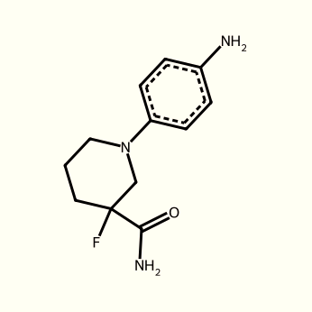 NC(=O)C1(F)CCCN(c2ccc(N)cc2)C1